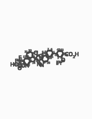 CC(C)Oc1cc(-c2ccc(COC(=O)C(Cc3ccc(C(F)(F)P(=O)(O)O)cc3)(c3ccccc3)n3nnc4ccccc43)cc2)ccc1C(=O)O